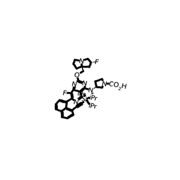 CC(C)[Si](C#Cc1cccc2cccc(-c3ncc4c(N(C)[C@@H]5CCN(C(=O)O)C5)nc(OC[C@@]56CCCN5C[C@H](F)C6)nc4c3F)c12)(C(C)C)C(C)C